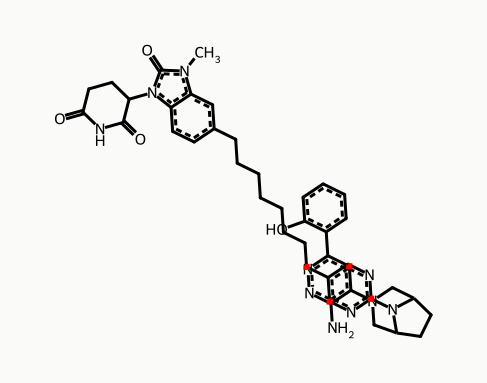 Cn1c(=O)n(C2CCC(=O)NC2=O)c2ccc(CCCCCCCCc3cnc(N4C5CCC4CN(c4cc(-c6ccccc6O)nnc4N)C5)nc3)cc21